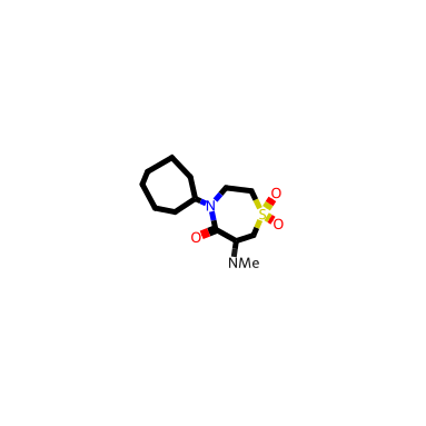 CNC1CS(=O)(=O)CCN(C2CCCCCC2)C1=O